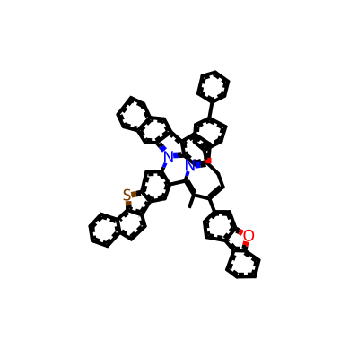 CC1=C(c2cc3c(cc2-n2c4ccccc4c4cc5ccccc5cc42)sc2c4ccccc4ccc32)N=C(c2ccc(-c3ccccc3)cc2)CC=C1c1ccc2c(c1)oc1ccccc12